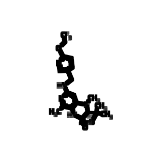 COC(C)(C)[C@H]1C(=O)Nc2c(cc(NCc3ccc(OCC(F)(F)F)nc3)nc2C)N1C